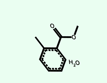 COC(=O)c1ccccc1C.O